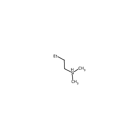 [CH2]CCC[SiH](C)C